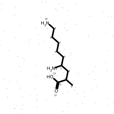 CC(CC(N)CCCCCN)C(=O)O